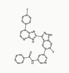 O=C(Nc1cncc(-c2cc3c(-c4nc5c(-c6ccc(F)cc6)ccnc5[nH]4)n[nH]c3cc2F)c1)c1ccccc1